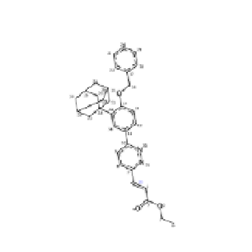 CCOC(=O)/C=C/c1ccc(-c2ccc(OCc3ccccc3)c(C34CC5CC(CC(C5)C3)C4)c2)nn1